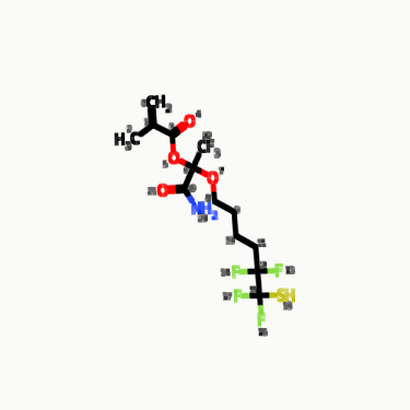 C=C(C)C(=O)OC(OCCCCC(F)(F)C(F)(F)S)(C(N)=O)C(F)(F)F